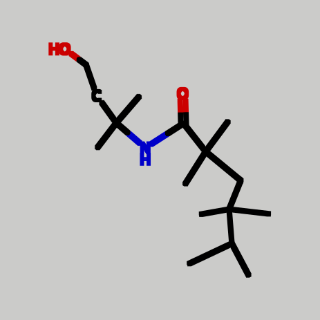 CC(C)C(C)(C)CC(C)(C)C(=O)NC(C)(C)CCO